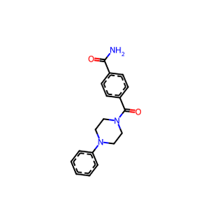 NC(=O)c1ccc(C(=O)N2CCN(c3ccccc3)CC2)cc1